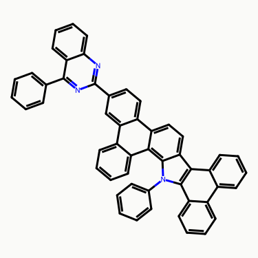 c1ccc(-c2nc(-c3ccc4c(c3)c3ccccc3c3c4ccc4c5c6ccccc6c6ccccc6c5n(-c5ccccc5)c43)nc3ccccc23)cc1